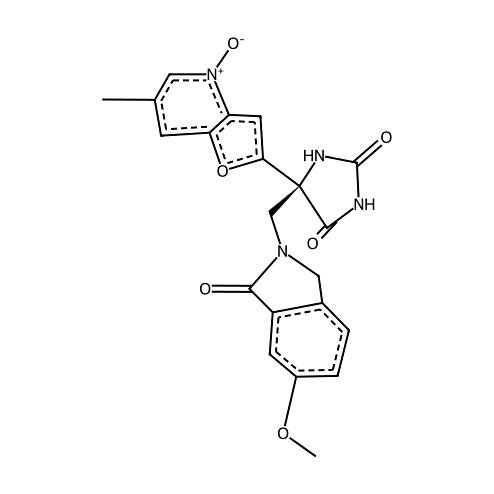 COc1ccc2c(c1)C(=O)N(C[C@@]1(c3cc4c(cc(C)c[n+]4[O-])o3)NC(=O)NC1=O)C2